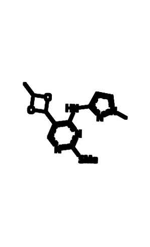 CSc1ncc(C2OC(C)O2)c(Nc2ccn(C)n2)n1